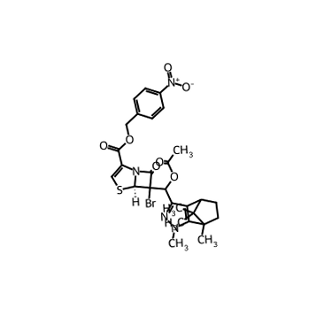 CC(=O)OC(c1nn(C)c2c1C1CCC2(C)C1(C)C)C1(Br)C(=O)N2C(C(=O)OCc3ccc([N+](=O)[O-])cc3)=CS[C@@H]21